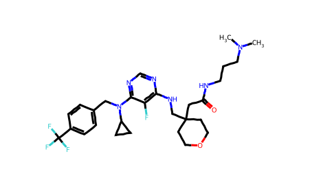 CN(C)CCCNC(=O)CC1(CNc2ncnc(N(Cc3ccc(C(F)(F)F)cc3)C3CC3)c2F)CCOCC1